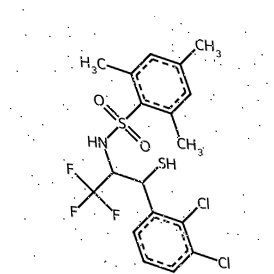 Cc1cc(C)c(S(=O)(=O)NC(C(S)c2cccc(Cl)c2Cl)C(F)(F)F)c(C)c1